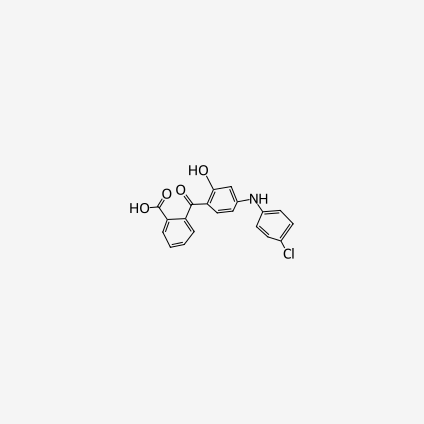 O=C(O)c1ccccc1C(=O)c1ccc(Nc2ccc(Cl)cc2)cc1O